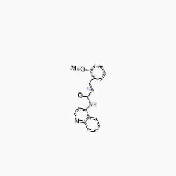 COc1ccccc1/C=C/C(=O)Nc1ccnc2ccccc12